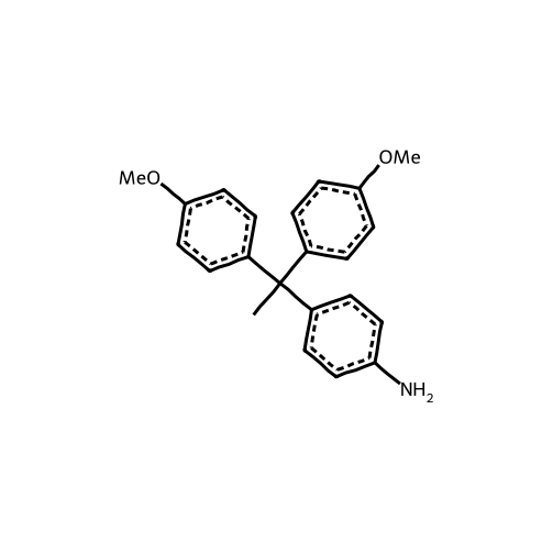 COc1ccc(C(C)(c2ccc(N)cc2)c2ccc(OC)cc2)cc1